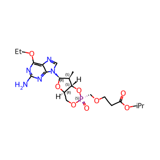 CCOc1nc(N)nc2c1ncn2[C@@H]1O[C@@H]2CO[P@@](=O)(COCCC(=O)OC(C)C)O[C@H]2[C@@H]1C